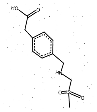 CS(=O)(=O)CNCc1ccc(CC(=O)O)cc1